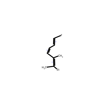 CC/C(C)=C(C)/C=C\C=C\F